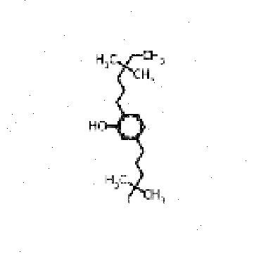 CCC(C)(C)CCCc1ccc(CCCC(C)(C)I)cc1O